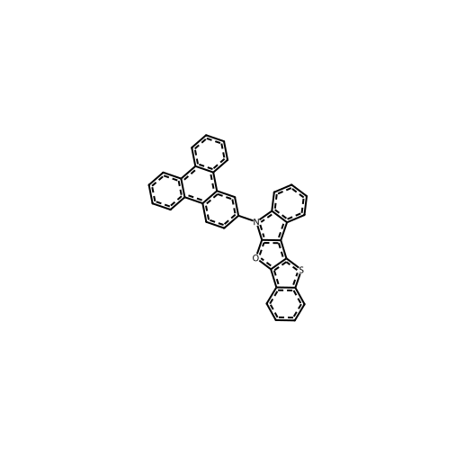 c1ccc2c(c1)sc1c2oc2c1c1ccccc1n2-c1ccc2c3ccccc3c3ccccc3c2c1